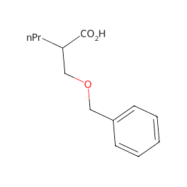 CCCC(COCc1ccccc1)C(=O)O